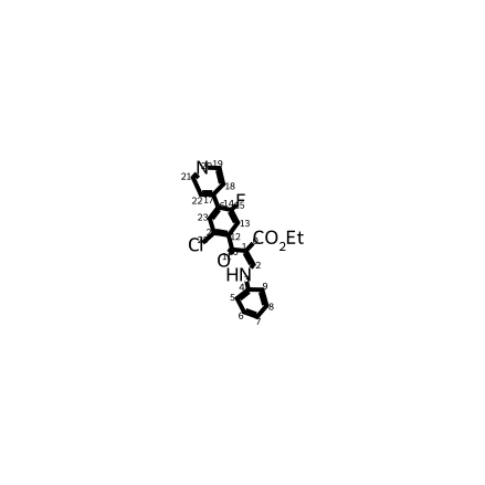 CCOC(=O)C(=CNc1ccccc1)C(=O)c1cc(F)c(-c2ccncc2)cc1Cl